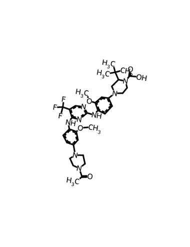 COc1cc(N2CCN(C(=O)O)C(C(C)(C)C)C2)ccc1Nc1ncc(C(F)(F)F)c(Nc2ccc(N3CCN(C(C)=O)CC3)cc2OC)n1